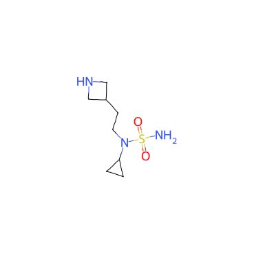 NS(=O)(=O)N(CCC1CNC1)C1CC1